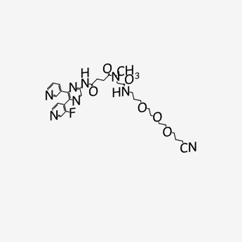 CN(CC(=O)NCCCOCCOCCOCCCC#N)C(=O)CCC(=O)Nc1cnc(-c2ccncc2F)c(-c2cccnc2)n1